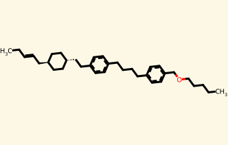 CC/C=C/C[C@H]1CC[C@H](CCc2ccc(CCCCc3ccc(COCCCCC)cc3)cc2)CC1